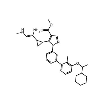 CN/C=C(\N)C1CC1c1c(C(=O)OC)cnn1-c1cccc(-c2cccc(OC(C)C3CCCCC3)c2C)c1